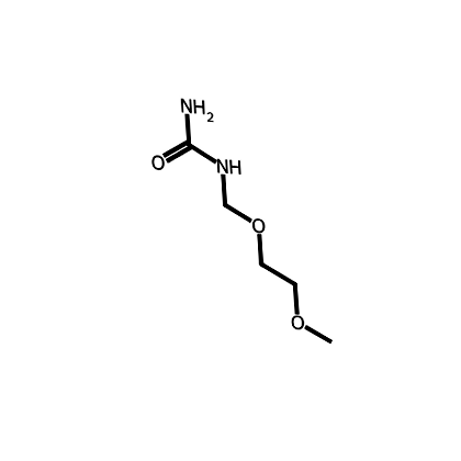 COCCOCNC(N)=O